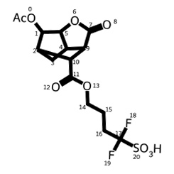 CC(=O)OC1C2CC3C1OC(=O)C3C2C(=O)OCCCC(F)(F)S(=O)(=O)O